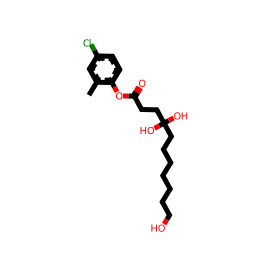 Cc1cc(Cl)ccc1OC(=O)CCC(O)(O)CCCCCCCO